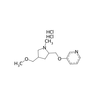 COCC1CC(COc2cccnc2)N(C)C1.Cl.Cl